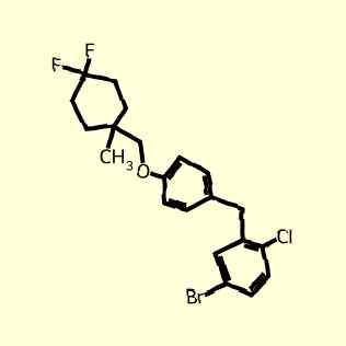 CC1(COc2ccc(Cc3cc(Br)ccc3Cl)cc2)CCC(F)(F)CC1